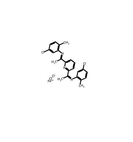 CC(=Nc1cc(Cl)ccc1C)c1cccc(C(C)=Nc2cc(Cl)ccc2C)n1.[Cl-].[Cl-].[Fe+2]